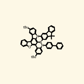 CC(C)(C)c1ccc2c(c1)-c1c3c4c(c5cc(C(C)(C)C)ccc5n4-c4cc5c(cc4B3N2c2ccc(-c3ccccc3)cc2)C(C)(C)c2ccccc2-5)c2c1oc1ccccc12